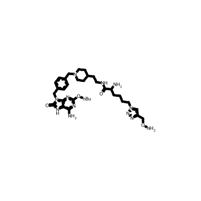 CCCCOc1nc(N)c2[nH]c(=O)n(Cc3ccc(CN4CCC(CCNC(=O)C(N)CCCCn5cc(CON)nn5)CC4)cc3)c2n1